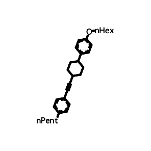 CCCCCCOc1ccc(C2CCC(C#Cc3ccc(CCCCC)cc3)CC2)cc1